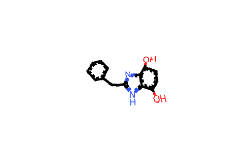 Oc1ccc(O)c2[nH]c(Cc3ccccc3)nc12